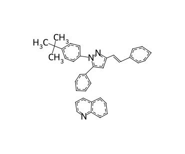 CC(C)(C)c1ccc(-n2nc(C=Cc3ccccc3)cc2-c2ccccc2)cc1.c1ccc2ncccc2c1